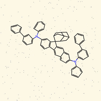 c1ccc(-c2cccc(N(c3ccccc3)c3ccc4c(c3)C3(c5cc6cc(N(c7ccccc7)c7cccc(-c8ccccc8)c7)ccc6cc5-4)C4CC5CC(C4)CC3C5)c2)cc1